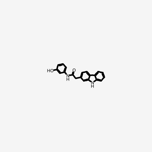 O=C(Cc1ccc2c(c1)[nH]c1ccccc12)Nc1cccc(O)c1